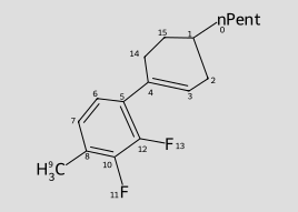 CCCCCC1CC=C(c2ccc(C)c(F)c2F)CC1